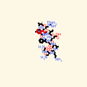 CC[C@H](C)[C@H](NC(=O)[C@H](Cc1ccccc1)NC(=O)[C@H](CC(C)C)NC(=O)[C@@H](CCCNC(=N)N)NC(=O)[C@@H](C)C(C)C)C(=O)N[C@@H](CCC(=O)O)C(=O)N[C@@H](Cc1c[nH]c2ccccc12)C(=O)N[C@@H](CC(C)C)C(=O)N[C@@H](CCCCN)C(=O)N[C@@H](CC(N)=O)C(=O)N[C@H](C)C(N)=O